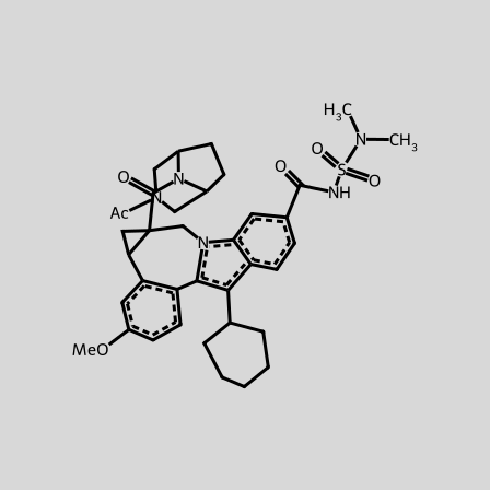 COc1ccc2c(c1)C1CC1(C(=O)N1C3CCC1CN(C(C)=O)C3)Cn1c-2c(C2CCCCC2)c2ccc(C(=O)NS(=O)(=O)N(C)C)cc21